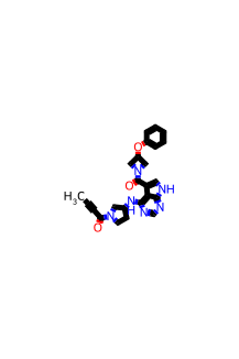 CC#CC(=O)N1CCC(Nc2ncnc3[nH]cc(C(=O)N4CC(Oc5ccccc5)C4)c23)C1